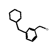 [O]Cc1cccc(CC2CCCCC2)c1